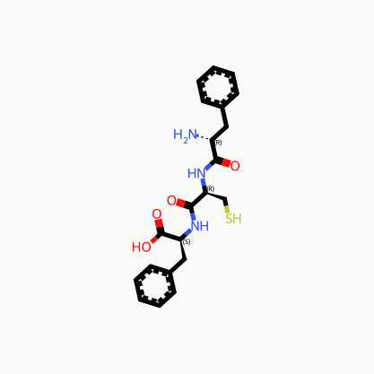 N[C@H](Cc1ccccc1)C(=O)N[C@@H](CS)C(=O)N[C@@H](Cc1ccccc1)C(=O)O